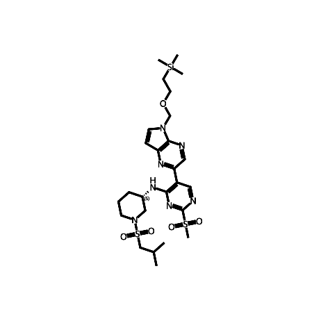 CC(C)CS(=O)(=O)N1CCC[C@H](Nc2nc(S(C)(=O)=O)ncc2-c2cnc3c(ccn3COCC[Si](C)(C)C)n2)C1